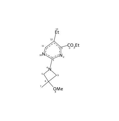 CCOC(=O)c1nc(N2CC(C)(OC)C2)ncc1CC